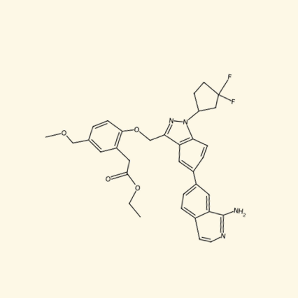 CCOC(=O)Cc1cc(COC)ccc1OCc1nn(C2CCC(F)(F)C2)c2ccc(-c3ccc4ccnc(N)c4c3)cc12